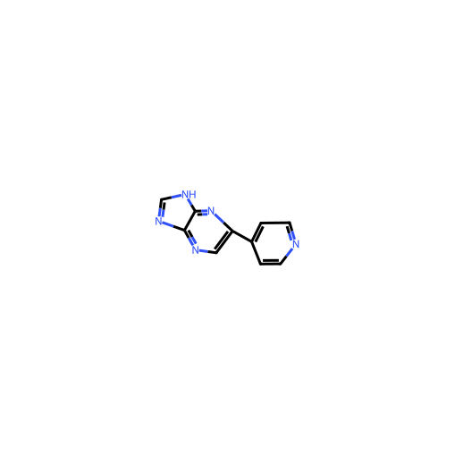 c1cc(-c2cnc3nc[nH]c3n2)ccn1